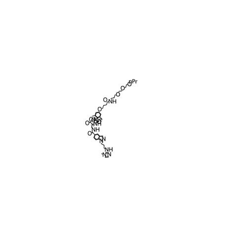 CCCOCCOCCOCCCNC(=O)CCCOc1cc(C)c(S(=O)(=O)N[C@@H](CNC(=O)c2ccc3c(cnn3CCCNc3nccn3C)c2)C(=O)OC)c(C)c1